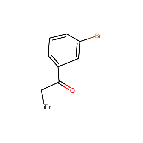 [CH2]C(C)CC(=O)c1cccc(Br)c1